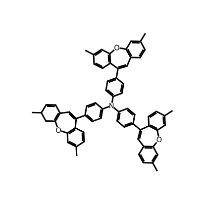 Cc1ccc2c(c1)Oc1cc(C)ccc1C(c1ccc(N(c3ccc(C4=CC5=C(CC(C)C=C5)Oc5cc(C)ccc54)cc3)c3ccc(C4=Cc5ccc(C)cc5Oc5cc(C)ccc54)cc3)cc1)=C2